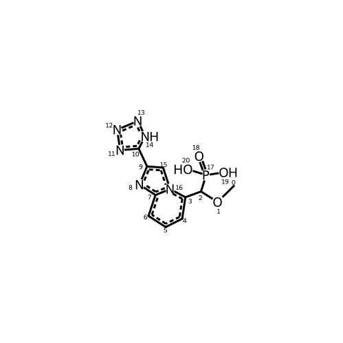 COC(c1cccc2nc(-c3nnn[nH]3)cn12)P(=O)(O)O